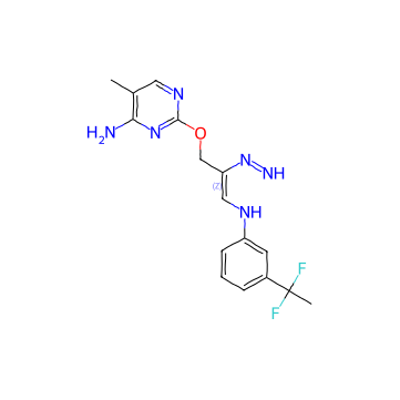 Cc1cnc(OC/C(=C/Nc2cccc(C(C)(F)F)c2)N=N)nc1N